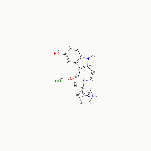 Cl.Cn1c2ccc(O)cc2c2c(=O)n([C@H]3CN4CCC3CC4)ccc21